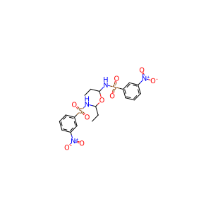 CCC(NS(=O)(=O)c1cccc([N+](=O)[O-])c1)OC(CC)NS(=O)(=O)c1cccc([N+](=O)[O-])c1